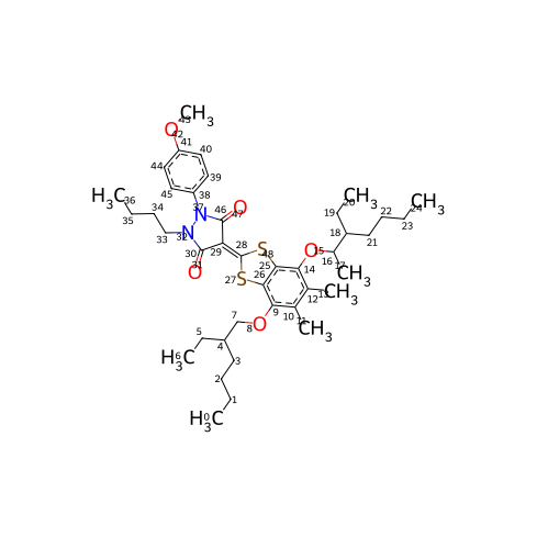 CCCCC(CC)COc1c(C)c(C)c(OC(C)C(CC)CCCC)c2c1S/C(=C1\C(=O)N(CCCC)N(c3ccc(OC)cc3)C1=O)S2